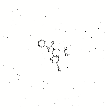 COC(=O)CCN1C(=O)N(c2ccccc2)CC1c1ncc(C#N)cn1